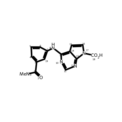 CNC(=O)c1cccc(Nc2ncnc3c2ccn3C(=O)O)c1